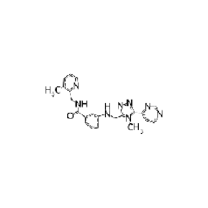 Cc1cccnc1CNC(=O)c1cccc(NCc2nnc(-c3ccncn3)n2C)c1